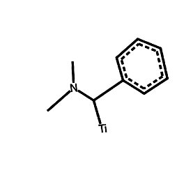 CN(C)[CH]([Ti])c1ccccc1